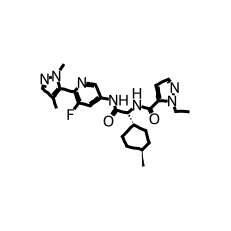 CCn1nccc1C(=O)NC(C(=O)Nc1cnc(-c2c(C)cnn2C)c(F)c1)[C@H]1CC[C@H](C)CC1